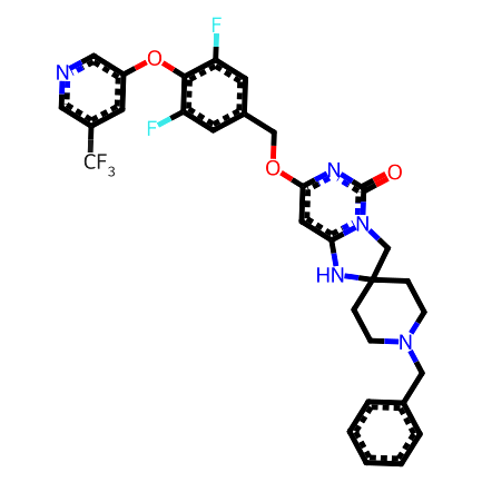 O=c1nc(OCc2cc(F)c(Oc3cncc(C(F)(F)F)c3)c(F)c2)cc2n1CC1(CCN(Cc3ccccc3)CC1)N2